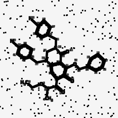 CCON(C)C(=O)c1cn2c(c(OCc3ccccc3)c1=O)C(=O)N(Cc1ccc(F)cc1)CN2Cc1ccc(F)cc1